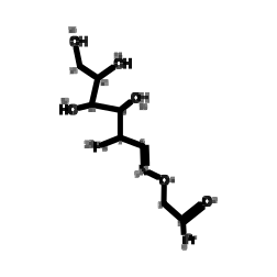 CC(C)C(=O)CO/N=C/C([18F])C(O)C(O)C(O)CO